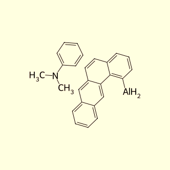 CN(C)c1ccccc1.[AlH2][c]1cccc2ccc3cc4ccccc4cc3c12